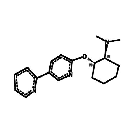 CN(C)[C@H]1CCCC[C@@H]1Oc1ccc(-c2ccccn2)cn1